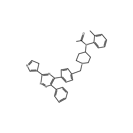 CC(=O)N(c1ccccc1C)C1CCN(Cc2ccc(-c3nc(C4=CN=CC4)nnc3-c3ccccc3)cc2)CC1